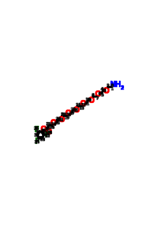 NCCOCCOCCOCCOCCOCCOCCOCCOCCC(=O)Oc1c(F)cc(F)cc1F